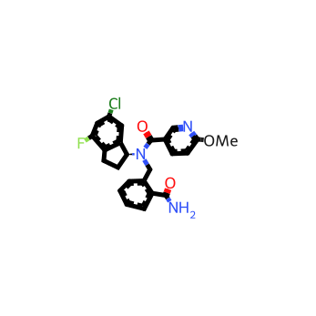 COc1ccc(C(=O)N(Cc2ccccc2C(N)=O)[C@@H]2CCc3c(F)cc(Cl)cc32)cn1